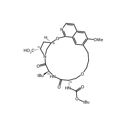 COc1cc2ccnc3c2cc1CCCOC[C@H](NC(=O)OC(C)(C)C)C(=O)N[C@@H](C(C)(C)C)C(=O)N1C[C@@H](C[C@H]1C(=O)O)O3